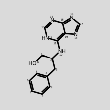 OC[C@H](Cc1ccccc1)Nc1[nH]cnc2ncnc1-2